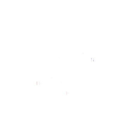 OSC(O)c1ccnc2ccccc12